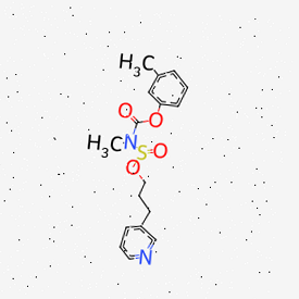 Cc1cccc(OC(=O)N(C)S(=O)OCCCc2cccnc2)c1